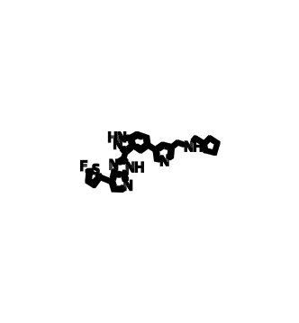 Fc1ccc(-c2ccnc3[nH]c(-c4n[nH]c5ccc(-c6cncc(CNCC7CCCC7)c6)cc45)nc23)s1